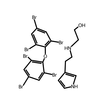 Brc1cc(Br)c(Oc2c(Br)cc(Br)cc2Br)c(Br)c1.OCCNCCc1cc[nH]c1